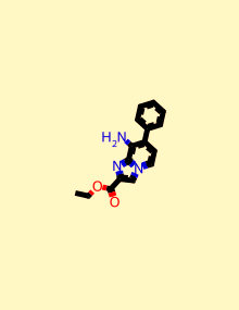 CCOC(=O)c1cn2ccc(-c3ccccc3)c(N)c2n1